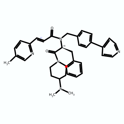 Cc1ccc(/C=C/C(=O)N(Cc2ccc(-c3ccncc3)cc2)[C@@H](Cc2ccccc2)C(=O)N2CCC(N(C)C)CC2)nc1